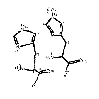 NC(Cc1c[nH]cn1)C(=O)[O-].NC(Cc1c[nH]cn1)C(=O)[O-].[Cu+2]